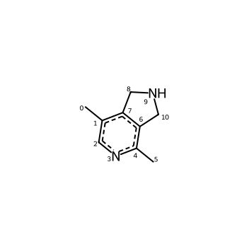 Cc1cnc(C)c2c1CNC2